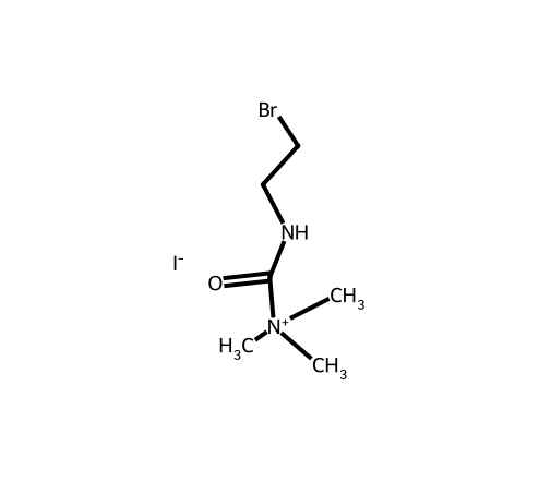 C[N+](C)(C)C(=O)NCCBr.[I-]